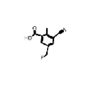 Cc1c(C#N)cc(CF)cc1C(=O)O